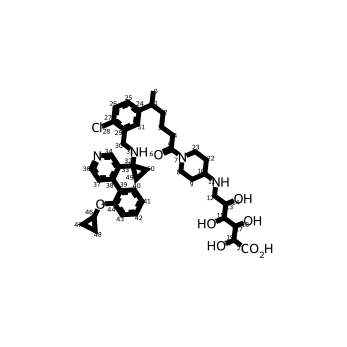 CC(CCCC(=O)N1CCC(NCC(O)C(O)C(O)C(O)C(=O)O)CC1)c1ccc(Cl)c(CNC2(c3cnccc3-c3ccccc3OC3CC3)CC2)c1